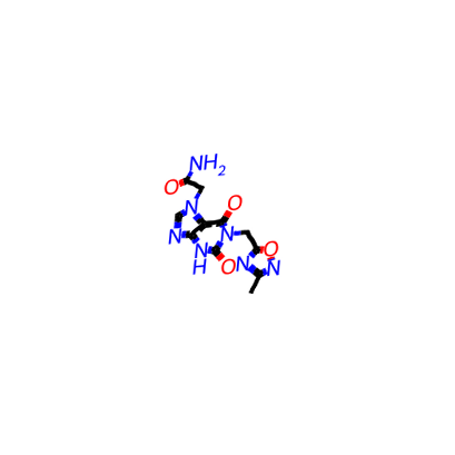 Cc1noc(Cn2c(=O)[nH]c3ncn(CC(N)=O)c3c2=O)n1